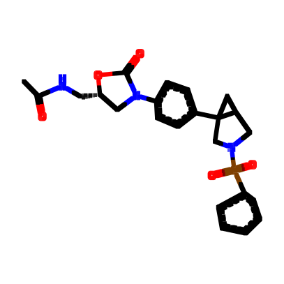 CC(=O)NC[C@H]1CN(c2ccc(C34CC3CN(S(=O)(=O)c3ccccc3)C4)cc2)C(=O)O1